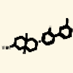 CCCCCCC1CC[C@@H]2C[C@H](c3ccc(-c4cccc(F)c4)c(F)c3)CC[C@@H]2C1